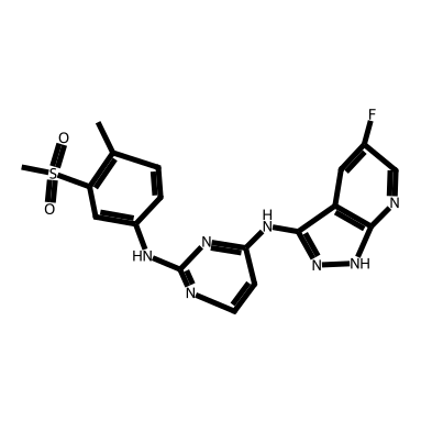 Cc1ccc(Nc2nccc(Nc3n[nH]c4ncc(F)cc34)n2)cc1S(C)(=O)=O